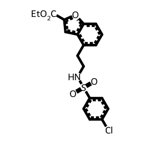 CCOC(=O)c1cc2c(CCNS(=O)(=O)c3ccc(Cl)cc3)cccc2o1